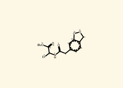 CCC(NC(=O)Cc1ccc2c(c1)OOC2)C(=O)OCC(C)C